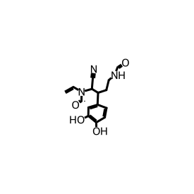 C=CN([C]=O)C(C#N)C(CCNC=O)c1ccc(O)c(O)c1